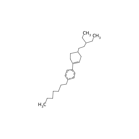 CCCCCCCc1ccc(C2=CCC(CCC(CC)CC)CC2)cc1